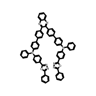 c1ccc(-c2nnc(-c3ccc(N(c4ccccc4)c4ccc(-c5ccc(-c6nc7ccccc7nc6-c6ccc(-c7ccc(N(c8ccccc8)c8ccc(-c9nnc(-c%10ccccc%10)o9)cc8)cc7)cc6)cc5)cc4)cc3)o2)cc1